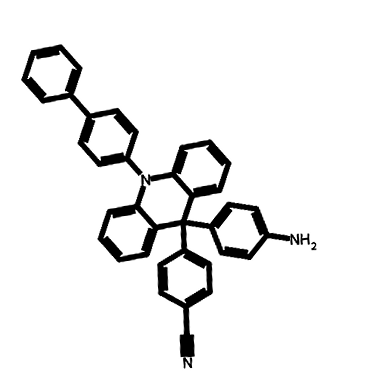 N#Cc1ccc(C2(c3ccc(N)cc3)c3ccccc3N(c3ccc(-c4ccccc4)cc3)c3ccccc32)cc1